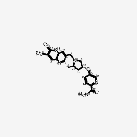 CCc1cc2ncc(CN3C[C@H](Oc4ccc(C(=O)NC)nc4)C[C@H]3C)cc2[nH]c1=O